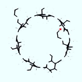 N[C@H](CSCC1O[C@H]2O[C@@H]3C(CO)O[C@@H](O[C@@H]4C(CO)O[C@H](O[C@@H]5C(CO)O[C@@H](O[C@@H]6C(CSC[C@@H](N)C(=O)O)O[C@H](O[C@@H]7C(CO)O[C@@H](O[C@@H]8C(CO)O[C@@H](O[C@H]1C(O)[C@@H]2O)[C@@H](O)C8O)C(O)[C@H]7O)C(O)[C@H]6O)C(O)[C@H]5O)[C@@H](O)C4O)[C@@H](O)C3O)C(=O)O